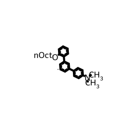 CCCCCCCCOc1ccccc1-c1c[c]cc(-c2ccc(N(C)C)cc2)c1